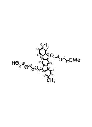 COCCOCCOC1c2cc(C)ccc2-c2cc3c(cc21)-c1ccc(C)cc1C3COCCOCCO